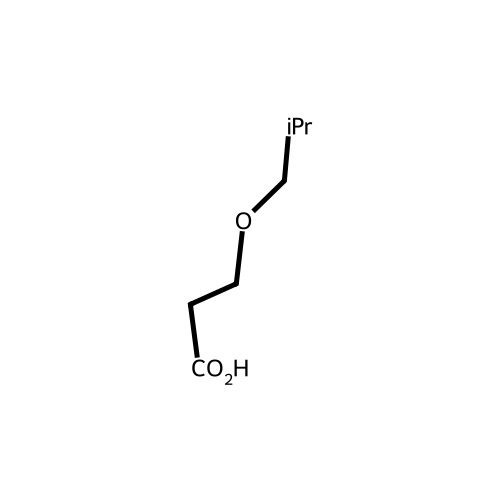 CC(C)COCCC(=O)O